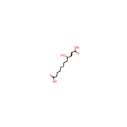 O=C(O)C=CC(O)CCCCCCCC(=O)O